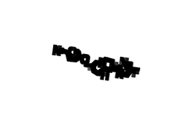 N#Cc1ccc(OC[C@@H]2CC[C@H]3CN(c4ncc(F)cn4)CCN3C2)cc1